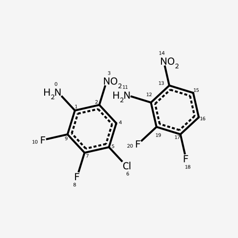 Nc1c([N+](=O)[O-])cc(Cl)c(F)c1F.Nc1c([N+](=O)[O-])ccc(F)c1F